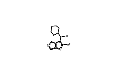 CCCc1sc2cncn2c1C(O)C1CCCCC1